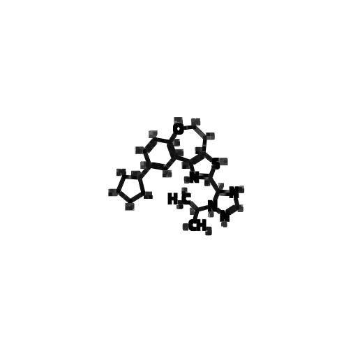 CC(C)n1ncnc1-c1nc2c(s1)CCOc1ccc(C3CCCC3)cc1-2